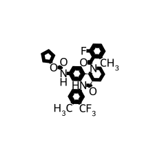 Cc1ccc(NC(=O)[C@H]2CCCN(C(=O)c3c(C)cccc3F)[C@H]2c2ccc(NC(=O)OC3CCCC3)cc2)cc1C(F)(F)F